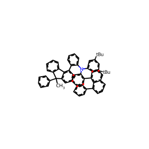 CC(C)(C)c1cc(N(c2ccccc2-c2cccc3c2-c2ccccc2C3(C)c2ccccc2)c2ccccc2-c2cccc3cccc(-c4ccccc4)c23)cc(C(C)(C)C)c1